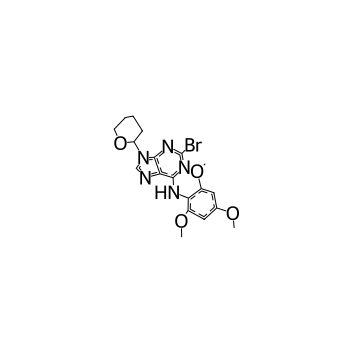 COc1cc(OC)c(Nc2nc(Br)nc3c2ncn3C2CCCCO2)c(OC)c1